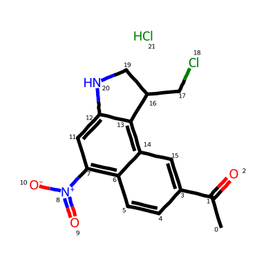 CC(=O)c1ccc2c([N+](=O)[O-])cc3c(c2c1)C(CCl)CN3.Cl